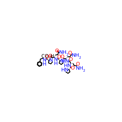 NC(=O)CC[C@H](NC(=O)[C@@H]1CCCN1)C(=O)N[C@@H](CCC(N)=O)C(=O)N1CCC[C@H]1C(=O)N[C@@H](CCC(N)=O)C(=O)N1CCC[C@H]1C(=O)N[C@@H](Cc1ccccc1)C(=O)O